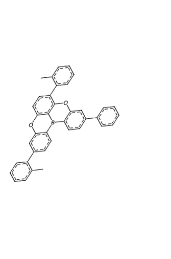 Cc1ccccc1-c1ccc2c(c1)Oc1ccc(-c3ccccc3C)c3c1B2c1ccc(-c2ccccc2)cc1O3